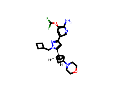 Nc1ncc(-c2cc([C@]34C5C(N6CCOCC6)C[C@@H]3[C@H]54)n(CC3CCC3)n2)cc1OC(F)F